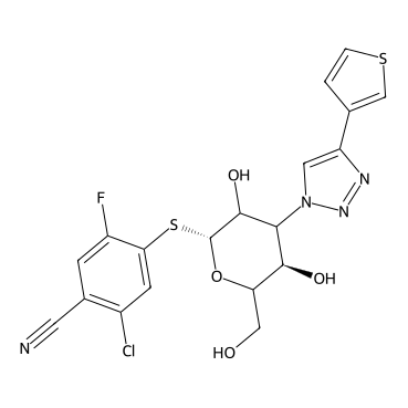 N#Cc1cc(F)c(S[C@H]2OC(CO)[C@H](O)C(n3cc(-c4ccsc4)nn3)C2O)cc1Cl